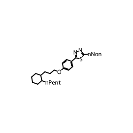 CCCCCCCCCc1nnc(-c2ccc(OCCCC3CCCCC3CCCCC)cc2)s1